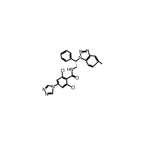 Cc1ccc2c(c1)nnn2[C@H](CNC(=O)c1c(Cl)cc(-n2cnnc2)cc1Cl)c1ccccc1